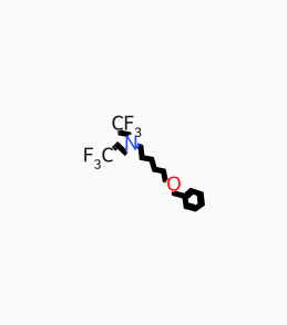 FC(F)(F)CCN(CCCCCCOCc1ccccc1)CCC(F)(F)F